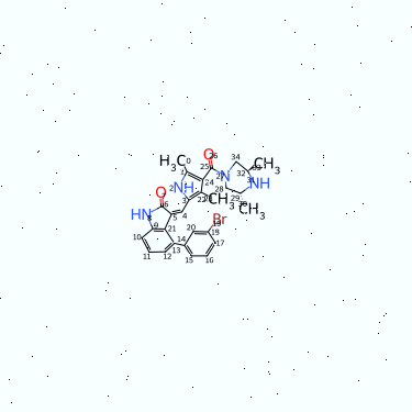 Cc1[nH]c(C=C2C(=O)Nc3cccc(-c4cccc(Br)c4)c32)c(C)c1C(=O)N1C[C@@H](C)N[C@H](C)C1